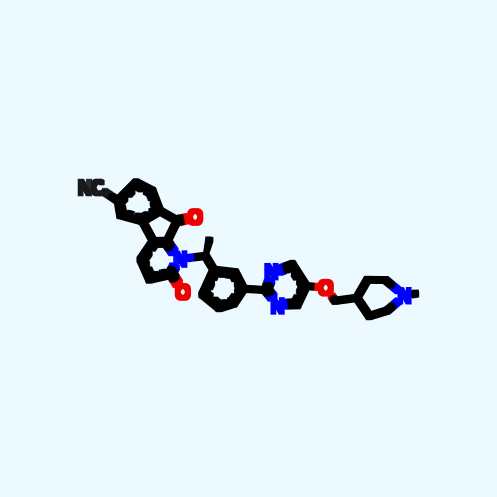 C[C@@H](c1cccc(-c2ncc(OCC3CCN(C)CC3)cn2)c1)n1c2c(ccc1=O)-c1cc(C#N)ccc1C2=O